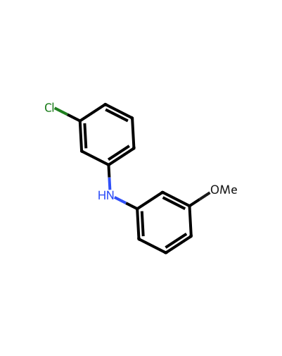 COc1cccc(Nc2cccc(Cl)c2)c1